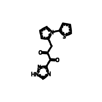 O=C(Cc1cccn1-c1cccs1)C(=O)c1nc[nH]n1